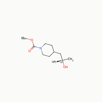 CCC[C@@](C)(O)CC1CCN(C(=O)OC(C)(C)C)CC1